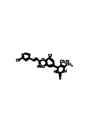 CCOC(=O)C1=C(C)NC(=S)NC1c1cc(Cl)c(OC(=O)/C=C/c2ccnc(Cl)c2)c(OC)c1